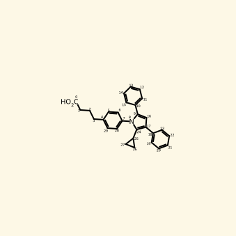 O=C(O)CCCc1ccc(-n2c(-c3ccccc3)cc(-c3ccccc3)c2C2CC2)cc1